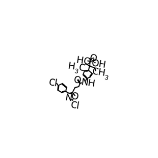 CCC(CC)(c1ccc(NC(=O)CCc2oc(Cl)nc2-c2ccc(Cl)cc2)cc1)P(=O)(O)O